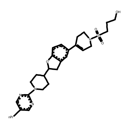 CCCc1cnc(N2CCC(C3Cc4cc(C5=CCN(S(=O)(=O)CCCO)CC5)ccc4O3)CC2)nc1